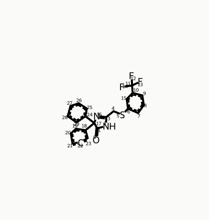 O=C1NC(CSc2cccc(C(F)(F)F)c2)=NC1(c1ccccc1)c1ccccc1